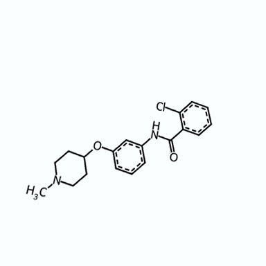 CN1CCC(Oc2cccc(NC(=O)c3ccccc3Cl)c2)CC1